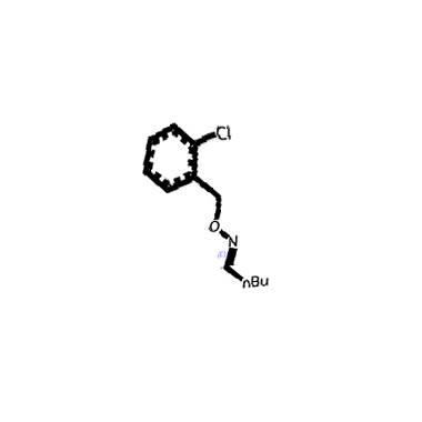 CCCC/[C]=N/OCc1ccccc1Cl